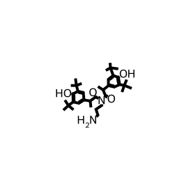 CC(C(=O)N(CCCN)C(=O)C(C)c1cc(C(C)(C)C)c(O)c(C(C)(C)C)c1)c1cc(C(C)(C)C)c(O)c(C(C)(C)C)c1